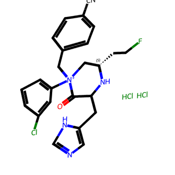 Cl.Cl.N#Cc1ccc(C[N+]2(c3cccc(Cl)c3)C[C@H](CCF)NC(Cc3cnc[nH]3)C2=O)cc1